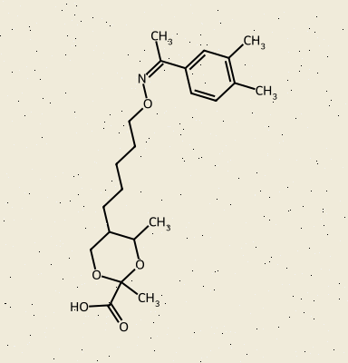 CC(=NOCCCCCC1COC(C)(C(=O)O)OC1C)c1ccc(C)c(C)c1